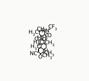 CC1(C)CC[C@]2(C(=O)NCC(F)(F)F)CC[C@]3(C)[C@H](C(=O)CC4[C@@]5(C)C=C(C#N)C(=O)C(C)(C)[C@@H]5CC[C@]43C)[C@@H]2C1